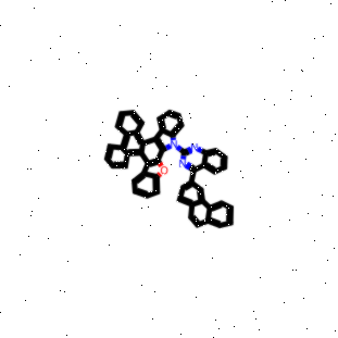 c1ccc2c(c1)ccc1ccc(-c3nc(-n4c5ccccc5c5c6c7ccccc7c7ccccc7c6c6c7ccccc7oc6c54)nc4ccccc34)cc12